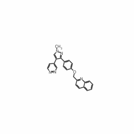 Cn1cc(-c2ccnnc2)c(-c2ccc(OCc3ccc4ccccc4n3)cc2)n1